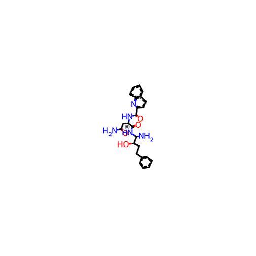 NC(=O)C[C@@H](NC(=O)c1ccc2ccccc2n1)C(=O)NC(N)C(O)CCc1ccccc1